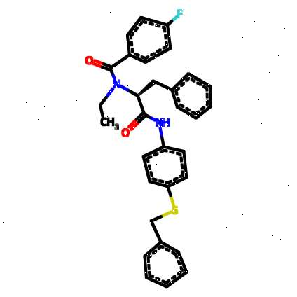 CCN(C(=O)c1ccc(F)cc1)[C@@H](Cc1ccccc1)C(=O)Nc1ccc(SCc2ccccc2)cc1